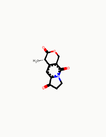 C[C@@H]1C(=O)OCc2c1cc1n(c2=O)CCC1=O